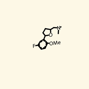 COc1ccc(F)cc1C1CCC(CN(C)C)O1